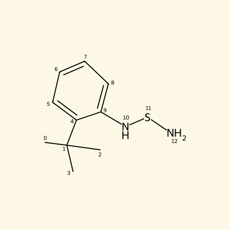 CC(C)(C)c1ccccc1NSN